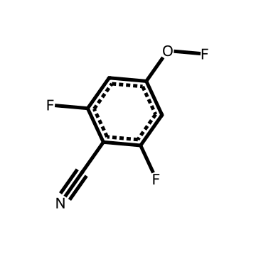 N#Cc1c(F)cc(OF)cc1F